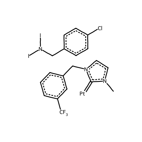 Clc1ccc(CN(I)I)cc1.Cn1ccn(Cc2cccc(C(F)(F)F)c2)[c]1=[Pt]